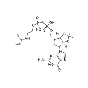 C=CC(=O)NCCOP(=O)(O)OP(=O)(O)OC[C@H]1O[C@@H](n2cnc3c(=O)[nH]c(N)nc32)[C@@H]2OC(C)(C)O[C@@H]21